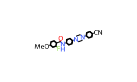 COc1ccc(C(=O)Nc2ccc(N3CCN(c4ccc(C#N)cc4)CC3)cc2)c(F)c1